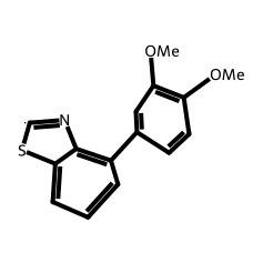 COc1ccc(-c2cccc3s[c]nc23)cc1OC